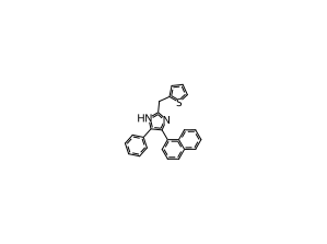 c1ccc(-c2[nH]c(Cc3cccs3)nc2-c2cccc3ccccc23)cc1